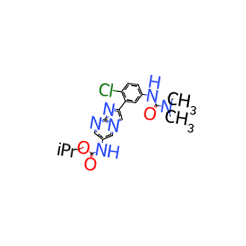 CC(C)OC(=O)Nc1cnc2nc(-c3cc(NC(=O)N(C)C)ccc3Cl)cn2c1